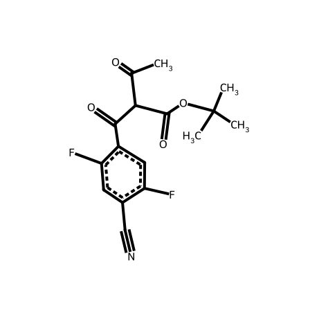 CC(=O)C(C(=O)OC(C)(C)C)C(=O)c1cc(F)c(C#N)cc1F